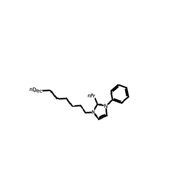 CCCCCCCCCCCCCCCCN1C=CN(c2ccccc2)C1CCC